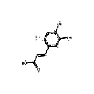 O=C(O)/C=C/c1ccc(O)c(O)c1.[Co]